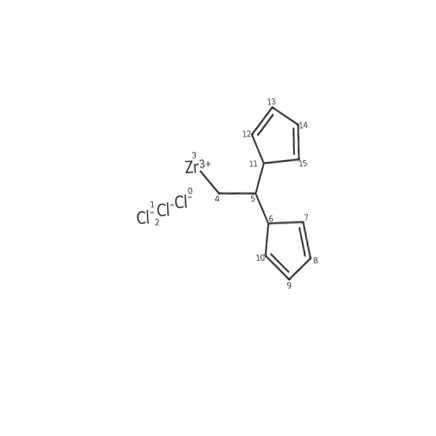 [Cl-].[Cl-].[Cl-].[Zr+3][CH2]C(C1C=CC=C1)C1C=CC=C1